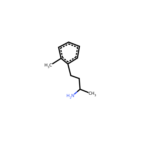 Cc1ccccc1CCC(C)N